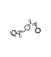 O=C(NCC1CCN(C(=O)[C@@H]2C[C@H]2c2ccccc2)CC1)c1ccncn1